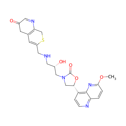 COc1ccc2nccc([C@@H]3CN(C[C@@H](O)CNCC4=CC5=C(CS4)N=CC(=O)C5)C(=O)O3)c2n1